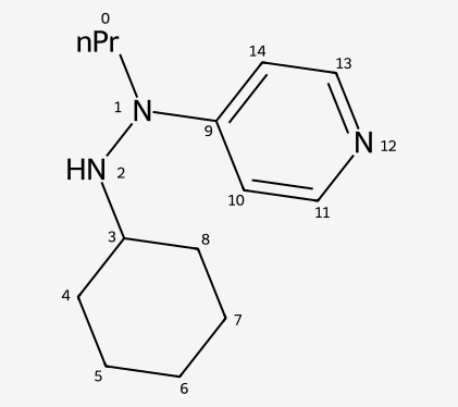 CCCN(NC1CCCCC1)c1ccncc1